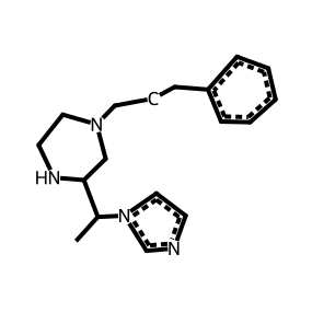 CC(C1CN(CCCc2ccccc2)CCN1)n1ccnc1